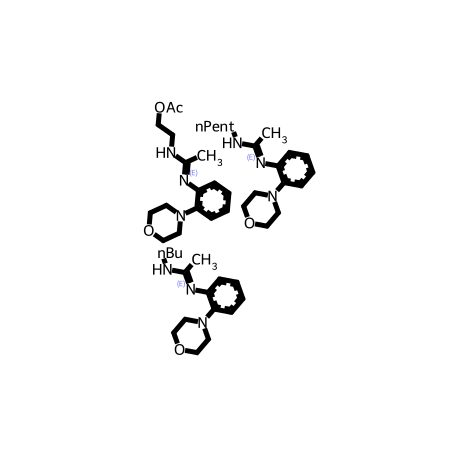 CC(=O)OCCN/C(C)=N/c1ccccc1N1CCOCC1.CCCCCN/C(C)=N/c1ccccc1N1CCOCC1.CCCCN/C(C)=N/c1ccccc1N1CCOCC1